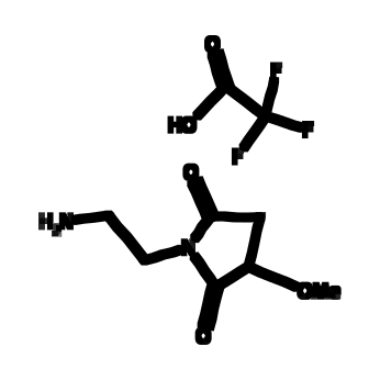 COC1CC(=O)N(CCN)C1=O.O=C(O)C(F)(F)F